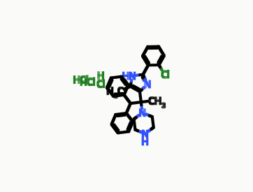 Cc1[nH]c(-c2ccccc2Cl)nc1C(C)(C(c1ccccc1)c1ccccc1)N1CCNCC1.Cl.Cl.Cl